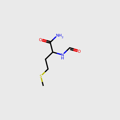 CSCCC(NC=O)C(N)=O